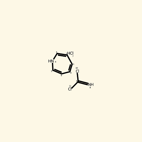 C1=CC=CNC=C1.Cl.N=C(Cl)Cl